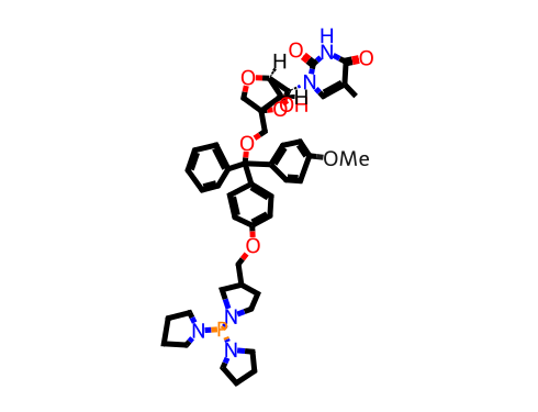 COc1ccc(C(OCC23CO[C@@H]([C@H](n4cc(C)c(=O)[nH]c4=O)O2)[C@@H]3O)(c2ccccc2)c2ccc(OCC3CCN(P(N4CCCC4)N4CCCC4)C3)cc2)cc1